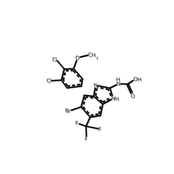 COc1cccc(Cl)c1Cl.O=C(O)Nc1nc2cc(Br)c(C(F)(F)F)cc2[nH]1